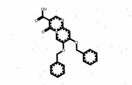 O=C(O)c1cnc2cc(OCc3ccccc3)c(OCc3ccccc3)cn2c1=O